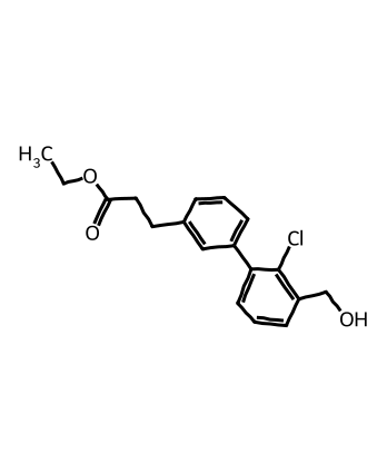 CCOC(=O)CCc1cccc(-c2cccc(CO)c2Cl)c1